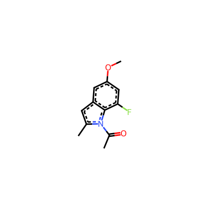 COc1cc(F)c2c(c1)cc(C)n2C(C)=O